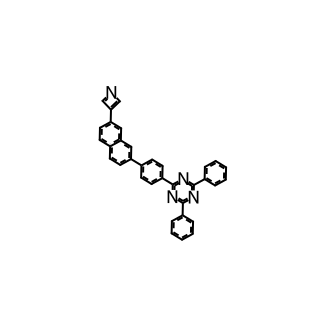 C1=NC=C1c1ccc2ccc(-c3ccc(-c4nc(-c5ccccc5)nc(-c5ccccc5)n4)cc3)cc2c1